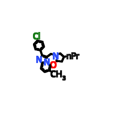 CCCC1CC(=O)N(Cc2c(-c3ccc(Cl)cc3)nc3ccc(C)cn23)C1